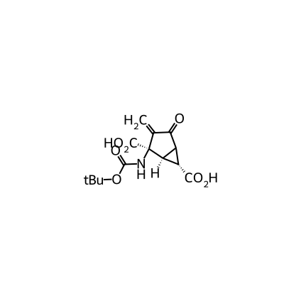 C=C1C(=O)C2[C@H](C(=O)O)[C@H]2[C@]1(NC(=O)OC(C)(C)C)C(=O)O